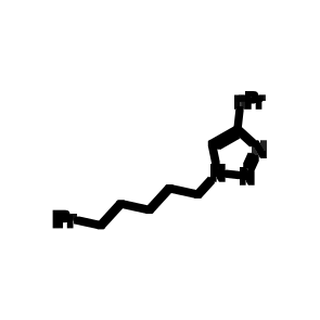 CCCc1cn(CCCCCC(C)C)nn1